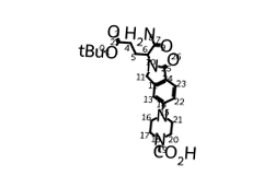 CC(C)(C)OC(=O)CCC(C(N)=O)N1Cc2cc(N3CCN(C(=O)O)CC3)ccc2C1=O